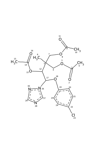 CC(=O)OCC(C)(COC(C)=O)C(OC(C)=O)C(Oc1ccc(Cl)cc1)n1cncn1